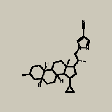 C[C@H]1CC[C@@H]2C3CC[C@@]4(C)C(C(C5CC5)CC4[C@@H](C)Cn4cc(C#N)cn4)[C@@H]3CC[C@@H]2C1